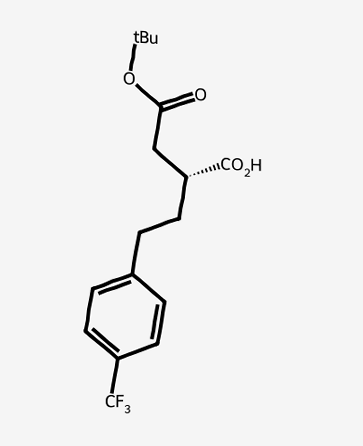 CC(C)(C)OC(=O)C[C@@H](CCc1ccc(C(F)(F)F)cc1)C(=O)O